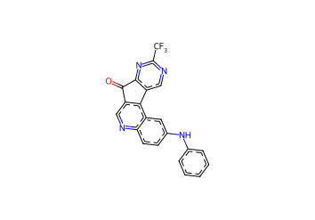 O=C1c2cnc3ccc(Nc4ccccc4)cc3c2-c2cnc(C(F)(F)F)nc21